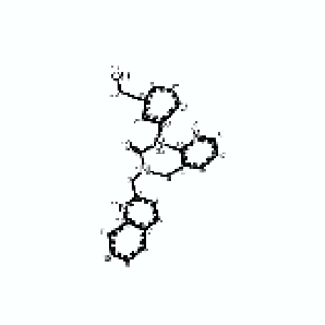 O=C1N(Cc2ccc3ccccc3n2)Cc2cccnc2N1c1cccc(CO)c1